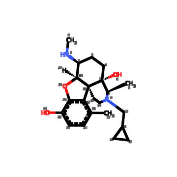 CN[C@H]1CC[C@@]2(O)[C@@H](C)N(CC3CC3)CC[C@@]23c2c(C)ccc(O)c2O[C@@H]13